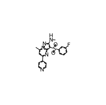 CNc1nn2c(C)cc(-c3ccncc3)nc2c1S(=O)(=O)c1cccc(F)c1